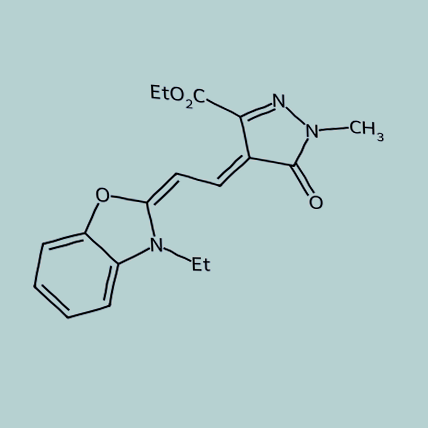 CCOC(=O)C1=NN(C)C(=O)/C1=C/C=C1/Oc2ccccc2N1CC